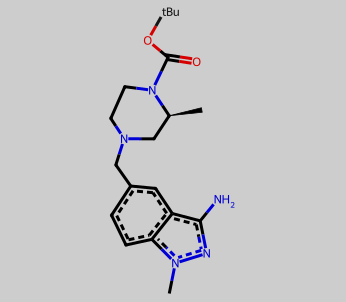 C[C@H]1CN(Cc2ccc3c(c2)c(N)nn3C)CCN1C(=O)OC(C)(C)C